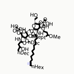 CCCCCC/C=C\CCCCCCCCCC(=O)N[C@H]1[C@H](OC[C@H]2O[C@H](OP(=O)(O)O)[C@H](NC(=O)CC(O)CCCCCCCCCCC)[C@@H](OCCCCCCCCCC)[C@@H]2O)O[C@H](CCO)[C@@H](OP(=O)(O)O)[C@@H]1OCCC(CCCCCCC)OC